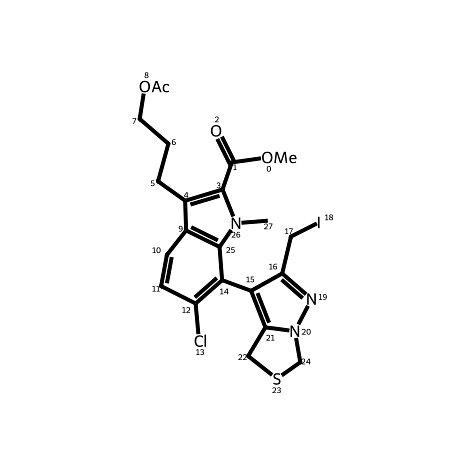 COC(=O)c1c(CCCOC(C)=O)c2ccc(Cl)c(-c3c(CI)nn4c3CSC4)c2n1C